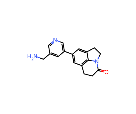 NCc1cncc(-c2cc3c4c(c2)CCN4C(=O)CC3)c1